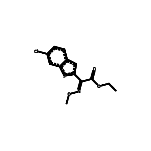 CCOC(=O)/C(=N/OC)c1cc2ccc(Cl)cc2s1